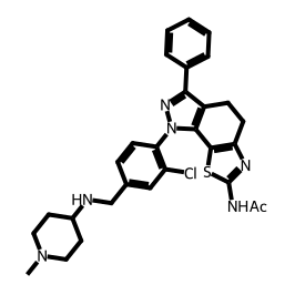 CC(=O)Nc1nc2c(s1)-c1c(c(-c3ccccc3)nn1-c1ccc(CNC3CCN(C)CC3)cc1Cl)CC2